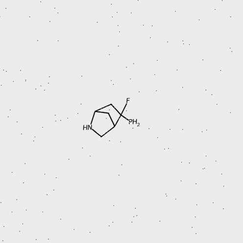 FC1(P)CC2CC1CN2